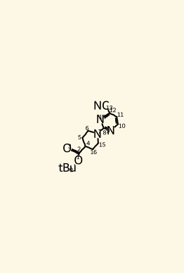 CC(C)(C)OC(=O)C1CCN(c2nccc(C#N)n2)CC1